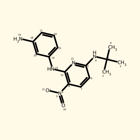 CC(C)(C)Nc1ccc([N+](=O)[O-])c(Nc2cccc(N)c2)n1